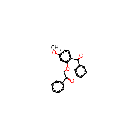 COc1ccc(C(=O)c2ccccc2)c(OCC(=O)c2ccccc2)c1